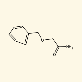 NC(=O)[CH]OCc1ccccc1